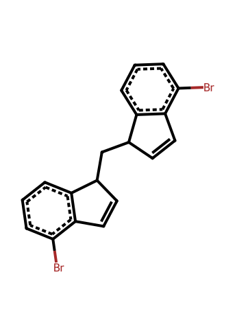 Brc1cccc2c1C=CC2CC1C=Cc2c(Br)cccc21